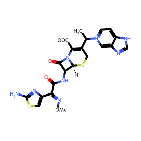 CON=C(C(=O)NC1C(=O)N2C(C(=O)[O-])=C(C(C)[n+]3ccc4[nH]cnc4c3)CS[C@@H]12)c1csc(N)n1